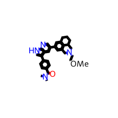 COCCN1Cc2cc(-c3cnc4[nH]cc(-c5ccc(C(=O)N(C)C)cc5)c4c3)cc3c2C(CCC3)C1